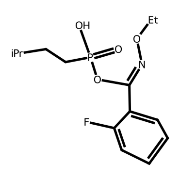 CCO/N=C(\OP(=O)(O)CCC(C)C)c1ccccc1F